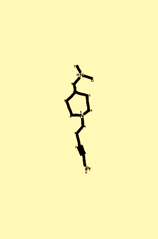 CC(C)C#CCCN1CCC(CN(C)C)CC1